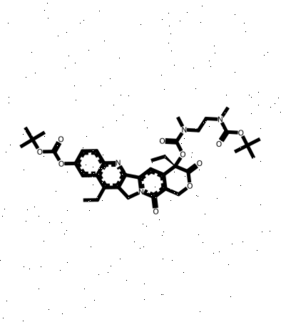 CCc1c2c(nc3ccc(OC(=O)OC(C)(C)C)cc13)-c1cc3c(c(=O)n1C2)COC(=O)[C@@]3(CC)OC(=O)N(C)CCN(C)C(=O)OC(C)(C)C